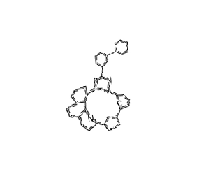 c1ccc(-c2cccc(-c3nc4cc(n3)c3cccc5ccc6ccc(nc6c53)c3cccc(c3)c3cccc4c3)c2)cc1